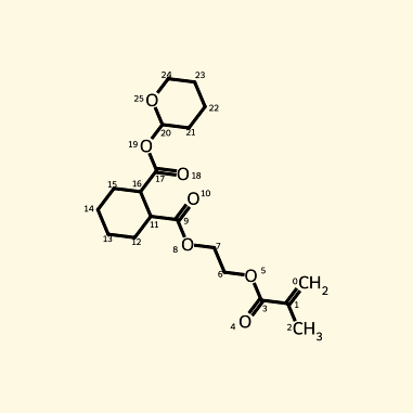 C=C(C)C(=O)OCCOC(=O)C1CCCCC1C(=O)OC1CCCCO1